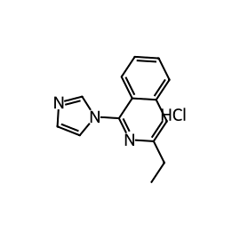 CCc1cc2ccccc2c(-n2ccnc2)n1.Cl